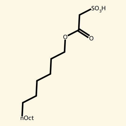 CCCCCCCCCCCCCCOC(=O)CS(=O)(=O)O